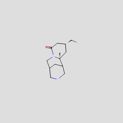 NC[C@@H]1CC(=O)N2C[C@@H]3CNC[C@@H](C3)[C@H]2C1